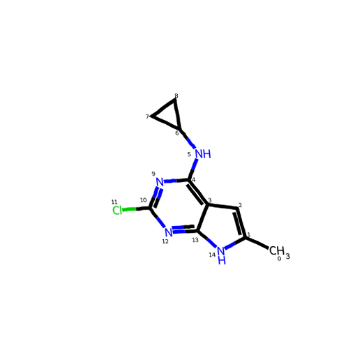 Cc1cc2c(NC3CC3)nc(Cl)nc2[nH]1